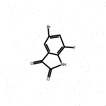 O=C1Nc2c(F)cc(Br)cc2C1=O